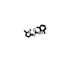 Cc1cccc(C)c1NC(=O)/N=C1/CCC(C)N1C